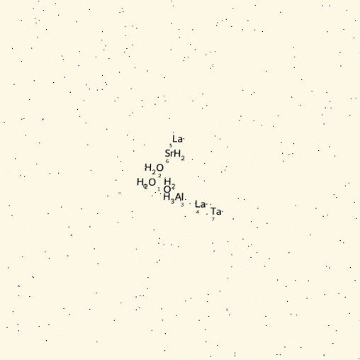 O.O.O.[AlH3].[La].[La].[SrH2].[Ta]